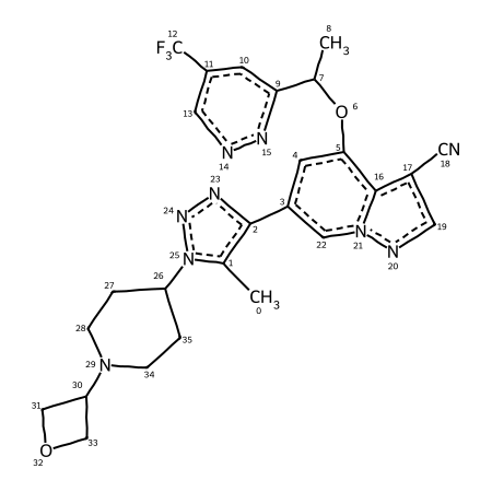 Cc1c(-c2cc(OC(C)c3cc(C(F)(F)F)cnn3)c3c(C#N)cnn3c2)nnn1C1CCN(C2COC2)CC1